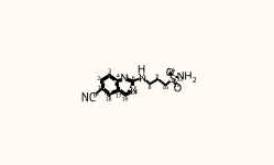 N#Cc1ccc2nc(NCCCS(N)(=O)=O)ncc2c1